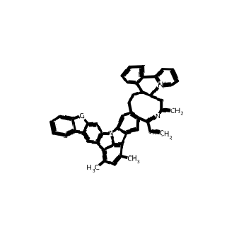 C=C/C1=N/C(=C)CC2C(CCc3cc4c(cc31)c1c(C)cc(C)c3c5cc6c(cc5n4c13)oc1ccccc16)c1ccccc1-c1cccc[n+]12